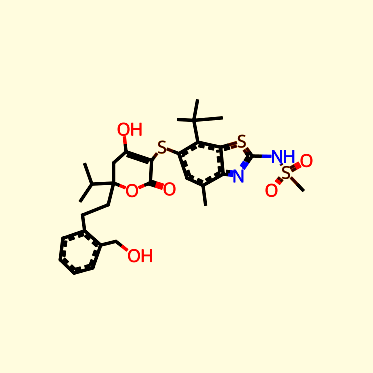 Cc1cc(SC2=C(O)CC(CCc3ccccc3CO)(C(C)C)OC2=O)c(C(C)(C)C)c2sc(NS(C)(=O)=O)nc12